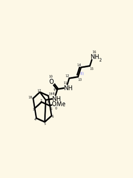 COC12CC3CC(C1)C(NC(=O)NC/C=C/CN)C(C3)C2